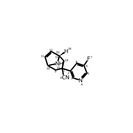 N#CC1(c2cncc(F)c2)CC2C=C[C@H](C1)N2